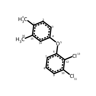 Cc1c[c]c(Oc2cccc(Cl)c2Cl)cc1C